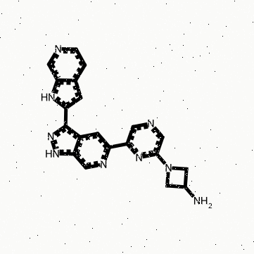 NC1CN(c2cncc(-c3cc4c(-c5cc6ccncc6[nH]5)n[nH]c4cn3)n2)C1